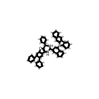 c1ccc(-c2cc3oc4c(c3cc2-c2ccccc2)NC(c2cc(-n3c5ccccc5c5cc6ccccc6cc53)c3ccccc3c2)NC4c2ccccc2)cc1